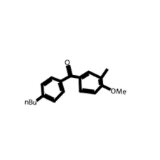 CCCCc1ccc(C(=O)c2ccc(OC)c(C)c2)cc1